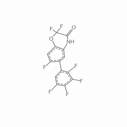 O=C1Nc2cc(-c3cc(F)c(F)c(F)c3F)c(F)cc2OC1(F)F